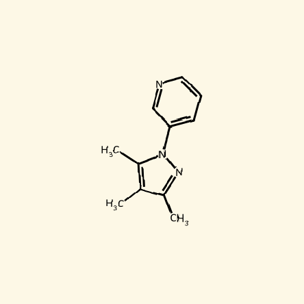 Cc1nn(-c2cccnc2)c(C)c1C